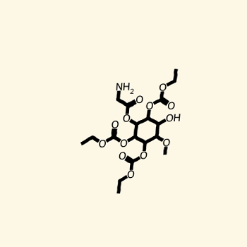 CCOC(=O)OC1C(O)C(OC)C(OC(=O)OCC)C(OC(=O)OCC)C1OC(=O)CN